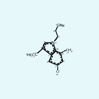 COCCn1cc(C(=O)O)c2cc(Cl)cc(C)c21